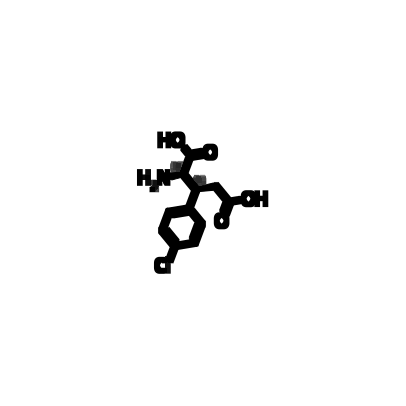 N[C@@H](C(=O)O)[C@@H](CC(=O)O)c1ccc(Cl)cc1